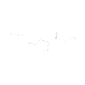 CC(C)(C)OC(=O)N1CC(CCC(F)(F)F)CC1=O